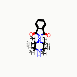 [2H]C1([2H])NC([2H])([2H])C([2H])([2H])N(N2C(=O)c3ccccc3C2=O)C1([2H])[2H]